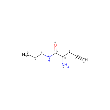 C#CCC(N)C(=O)NCCC